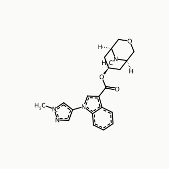 CN1[C@@H]2COC[C@H]1C[C@@H](OC(=O)c1cn(-c3cnn(C)c3)c3ccccc13)C2